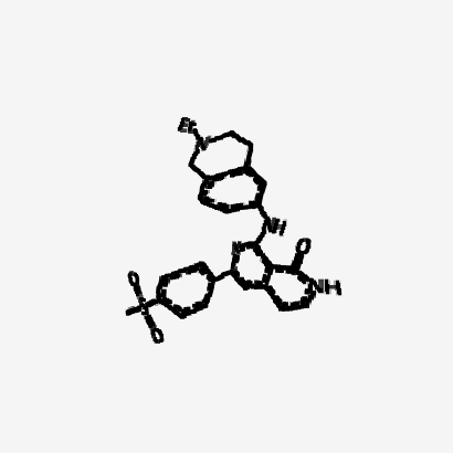 CCN1CCc2cc(Nc3nc(-c4ccc(S(C)(=O)=O)cc4)cc4cc[nH]c(=O)c34)ccc2C1